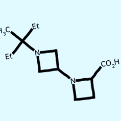 CCC(C)(CC)N1CC(N2CCC2C(=O)O)C1